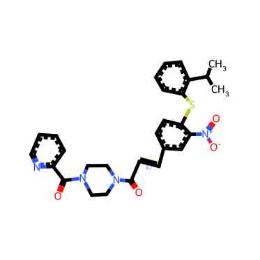 CC(C)c1ccccc1Sc1ccc(/C=C/C(=O)N2CCN(C(=O)c3ccccn3)CC2)cc1[N+](=O)[O-]